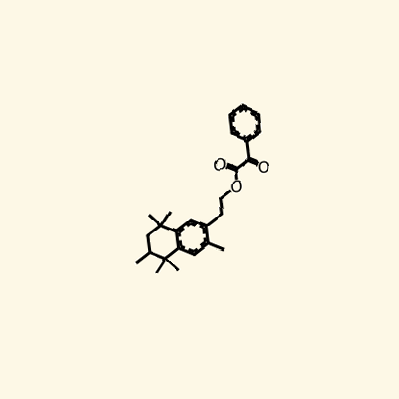 Cc1cc2c(cc1CCOC(=O)C(=O)c1ccccc1)C(C)(C)CC(C)C2(C)C